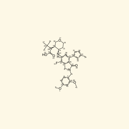 COc1ccc(CN2Cc3c(F)c(N[C@@H]4CCOC[C@@H]4N(C(=O)O)C(C)(C)C)nc(-c4ccc(C)s4)c3C2=O)c(OC)c1